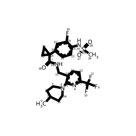 CC1CCN(c2nc(C(F)(F)F)ccc2CNC(=O)C2(c3ccc(NS(C)(=O)=O)c(F)c3)CC2)CC1